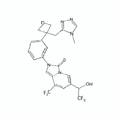 Cn1cnnc1CC1(c2cccc(-n3cc4c(C(F)(F)F)cc(C(O)C(F)(F)F)cn4c3=O)c2)COC1